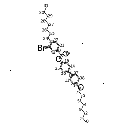 CCCCCCCCOc1ccc(-c2ccc(OC(=O)c3ccc(CCCCCCCC)c(Br)c3)cc2)cc1